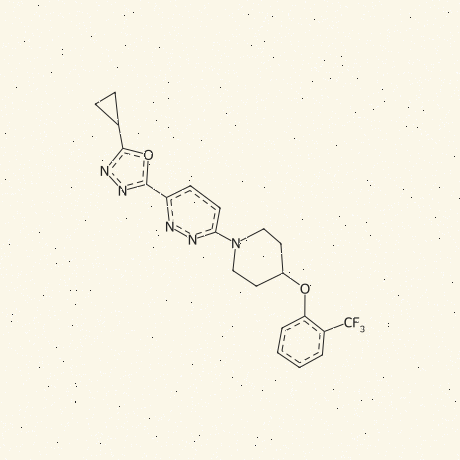 FC(F)(F)c1ccccc1OC1CCN(c2ccc(-c3nnc(C4CC4)o3)nn2)CC1